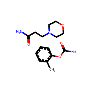 Cc1ccccc1OC(N)=O.NC(=O)CCN1CCOCC1